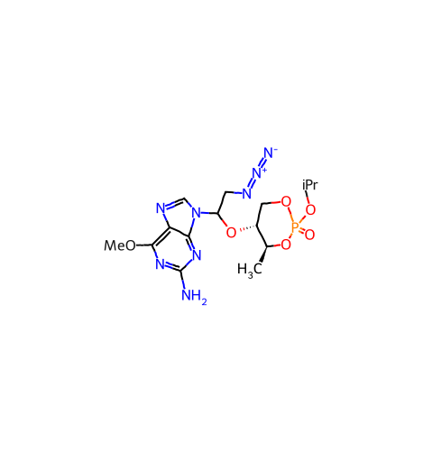 COc1nc(N)nc2c1ncn2C(CN=[N+]=[N-])O[C@@H]1COP(=O)(OC(C)C)O[C@H]1C